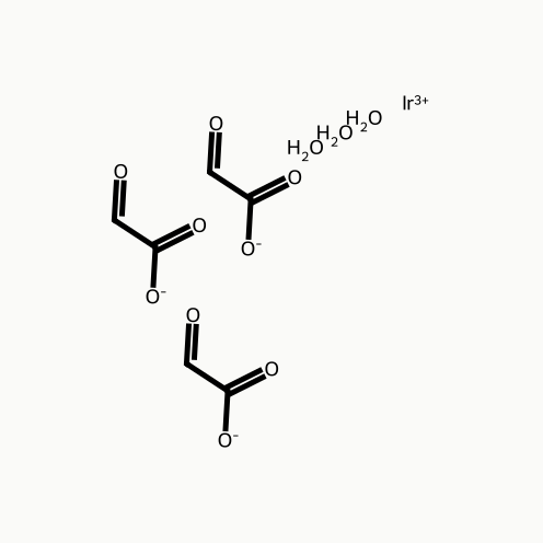 O.O.O.O=CC(=O)[O-].O=CC(=O)[O-].O=CC(=O)[O-].[Ir+3]